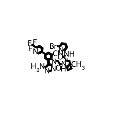 Cc1cc(-c2ccc(C(F)(F)F)nc2)cc2c3c(N)ncnc3n(CC(=O)N3[C@H](C(=O)Nc4cccc(Br)n4)C[C@@]4(C)CC[C@@H]34)c12